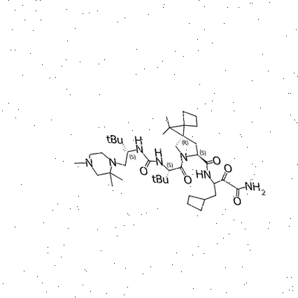 CN1CCN(C[C@@H](NC(=O)N[C@H](C(=O)N2C[C@]3(C[C@H]2C(=O)NC(CC2CCC2)C(=O)C(N)=O)C(C)(C)C32CCC2)C(C)(C)C)C(C)(C)C)C(C)(C)C1